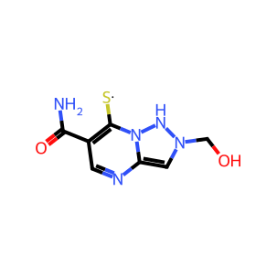 NC(=O)C1=C([S])N2NN(CO)C=C2N=C1